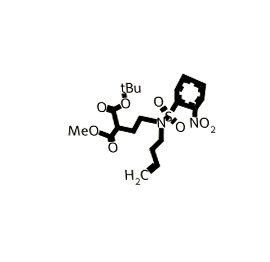 C=CCCN(CCC(C(=O)OC)C(=O)OC(C)(C)C)S(=O)(=O)c1ccccc1[N+](=O)[O-]